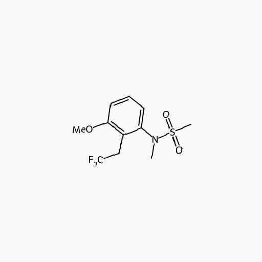 COc1cccc(N(C)S(C)(=O)=O)c1CC(F)(F)F